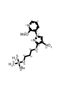 COc1ncccc1-n1cc([N+](=O)[O-])c(OCCCO[Si](C)(C)C(C)(C)C)n1